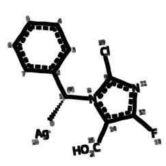 C[C@H](c1ccccc1)n1c(Cl)nc(F)c1C(=O)O.[Ag]